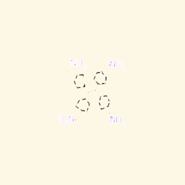 NOc1ccc(C(c2ccc(ON)cc2)C(c2ccc(ON)cc2)c2ccc(ON)cc2)cc1